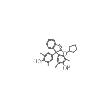 Cc1cc(C2(c3cc(C)c(O)c(C)c3)C(OC3CCCC3)=Nc3ccccc32)cc(C)c1O